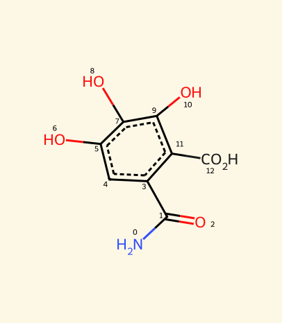 NC(=O)c1cc(O)c(O)c(O)c1C(=O)O